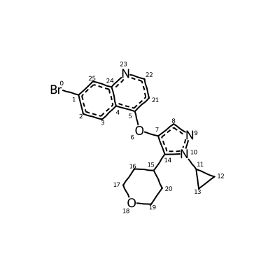 Brc1ccc2c(Oc3cnn(C4CC4)c3C3CCOCC3)ccnc2c1